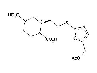 CC(=O)OCc1csc(SCC[C@@H]2CN(C(=O)O)CCN2C(=O)O)n1